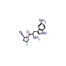 N#CC1CC(F)CN1C(=O)C(N)Cc1c[nH]c2ccc(N)cc12